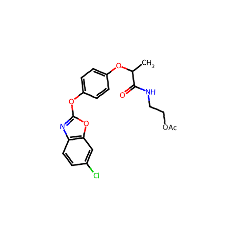 CC(=O)OCCNC(=O)C(C)Oc1ccc(Oc2nc3ccc(Cl)cc3o2)cc1